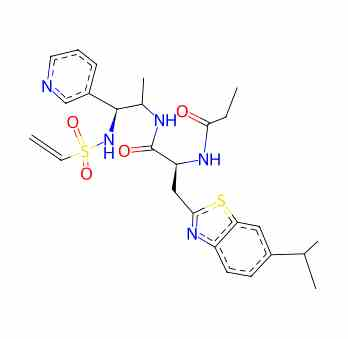 C=CS(=O)(=O)N[C@@H](c1cccnc1)C(C)NC(=O)[C@H](Cc1nc2ccc(C(C)C)cc2s1)NC(=O)CC